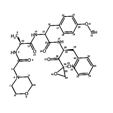 C[C@H](NC(=O)CN1CCOCC1)C(=O)NC(Cc1ccc(OC(C)(C)C)cc1)C(=O)N[C@@H](Cc1ccccc1)C(=O)[C@@]1(C)CO1